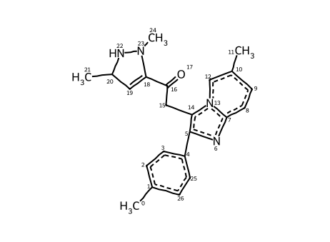 Cc1ccc(-c2nc3ccc(C)cn3c2CC(=O)C2=CC(C)NN2C)cc1